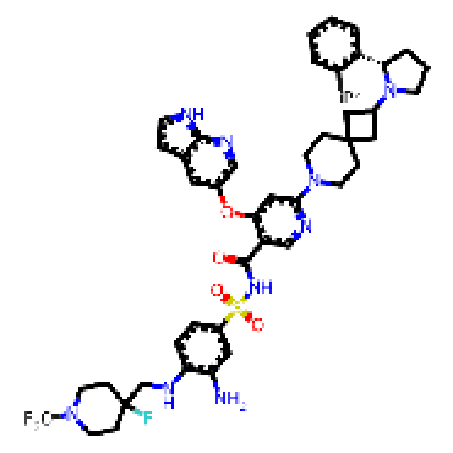 CC(C)c1ccccc1[C@@H]1CCCN1C1CC2(CCN(c3cc(Oc4cnc5[nH]ccc5c4)c(C(=O)NS(=O)(=O)c4ccc(NCC5(F)CCN(C(F)(F)F)CC5)c(N)c4)cn3)CC2)C1